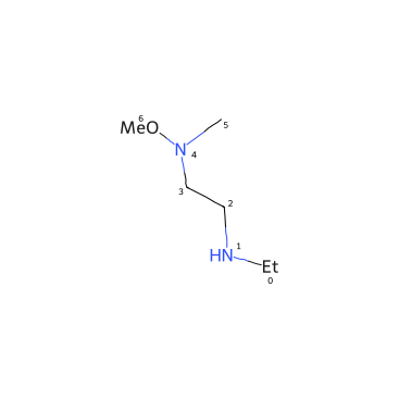 CCNCCN(C)OC